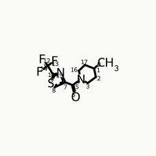 CC1CCN(C(=O)c2csc(C(F)(F)F)n2)CC1